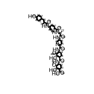 COc1c(NC(=O)c2ccc(NC(=O)c3ccc(NC(=O)[C@H](C)NC(=O)c4ccc(NC(=O)/C(C)=C/c5ccc(O)cc5)cn4)cn3)c(OC)c2O)ccc(C(=O)O)c1O